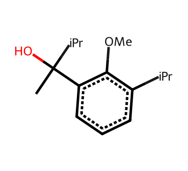 COc1c(C(C)C)cccc1C(C)(O)C(C)C